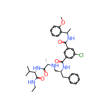 CCNC(=O)[C@@H](NC(=O)[C@H](C)NC[C@H](Cc1ccccc1)NC(=O)c1cc(Cl)cc(C(=O)NC(C)c2ccccc2OC)c1)C(C)C